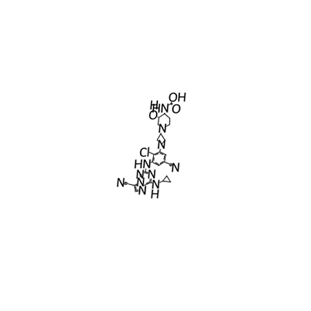 N#Cc1cc(Nc2nc(NC3CC3)c3ncc(C#N)n3n2)c(Cl)c(N2CC(N3CC[C@H](NC(=O)O)[C@@H](O)C3)C2)c1